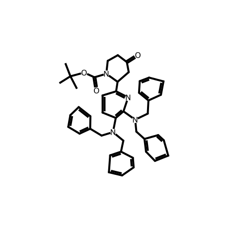 CC(C)(C)OC(=O)N1CCC(=O)CC1c1ccc(N(Cc2ccccc2)Cc2ccccc2)c(N(Cc2ccccc2)Cc2ccccc2)n1